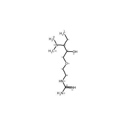 CCC(C(O)COCCNC(=N)N)N(C)C